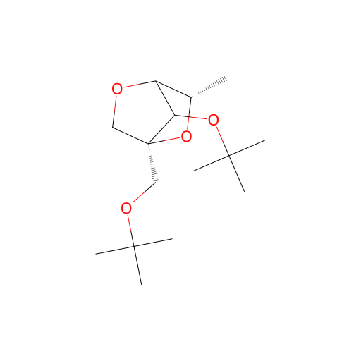 C[C@@H]1O[C@@]2(COC(C)(C)C)COC1C2OC(C)(C)C